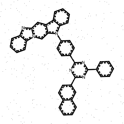 c1ccc(-c2nc(-c3ccc(-n4c5ccccc5c5cc6nc7ccccc7n6cc54)cc3)nc(-c3ccc4ccccc4c3)n2)cc1